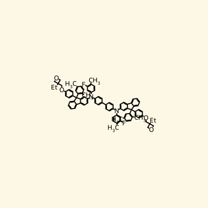 CCC1(COc2ccc(C3(c4cc(C)ccc4C)c4ccccc4-c4ccc(N(c5ccc(-c6ccc(N(c7ccc(C)c(F)c7)c7ccc8c(c7)C(c7ccc(OCC9(CC)COC9)cc7)(c7cc(C)ccc7C)c7ccccc7-8)cc6)cc5)c5ccc(C)c(F)c5)cc43)cc2)COC1